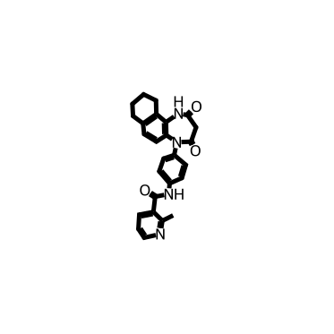 Cc1ncccc1C(=O)Nc1ccc(N2C(=O)CC(=O)Nc3c2ccc2c3CCCC2)cc1